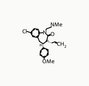 C=CC[C@H]1C(=O)N(CCNC)c2ccc(Cl)cc2C[C@H]1c1ccc(OC)cc1